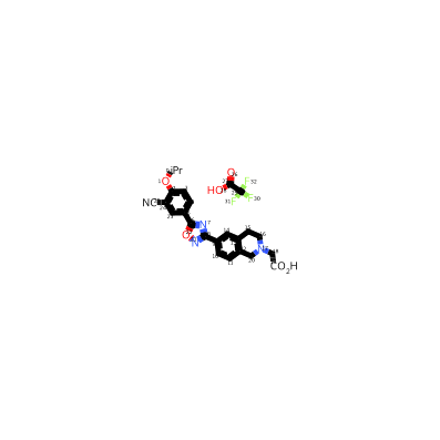 CC(C)Oc1ccc(-c2nc(-c3ccc4c(c3)CCN(CC(=O)O)C4)no2)cc1C#N.O=C(O)C(F)(F)F